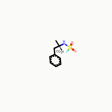 C[C@@](Cc1ccccc1)(NS(=O)(=O)F)C(=O)O